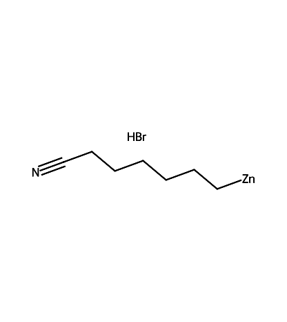 Br.N#CCCCCC[CH2][Zn]